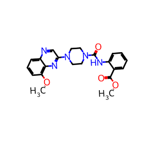 COC(=O)c1ccccc1NC(=O)N1CCN(c2cnc3cccc(OC)c3n2)CC1